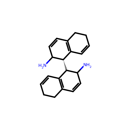 NC1C=CC2=C(C=CCC2)C1[C@H]1C2=C(C=CC1N)CCC=C2